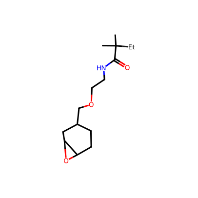 CCC(C)(C)C(=O)NCCOCC1CCC2OC2C1